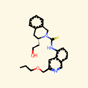 CCCOCc1cc2c(NC(=S)N3Cc4ccccc4C[C@H]3CCO)cccc2cn1